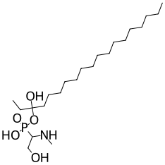 CCCCCCCCCCCCCCCCC(O)(CC)OP(=O)(O)C(CO)NC